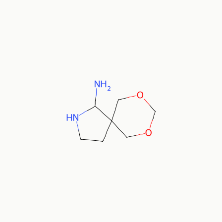 NC1NCCC12COCOC2